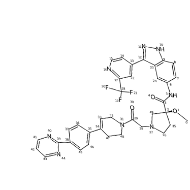 CO[C@@]1(C(=O)Nc2ccc3[nH]nc(-c4ccnc(C(F)(F)F)c4)c3c2)CCN(CC(=O)N2CC=C(c3ccc(-c4ncccn4)cc3)CC2)C1